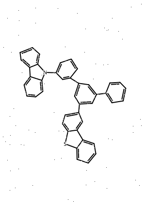 c1ccc(-c2cc(-c3cccc(-n4c5ccccc5c5ccccc54)c3)cc(-c3ccc4sc5ccccc5c4c3)c2)cc1